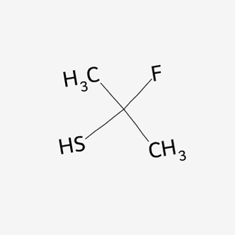 CC(C)(F)S